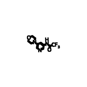 O=C(Nc1cncc(N2CCOCC2)c1)C(F)(F)F